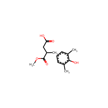 COC(=O)C(C)CC(=O)O.Cc1cccc(C)c1O